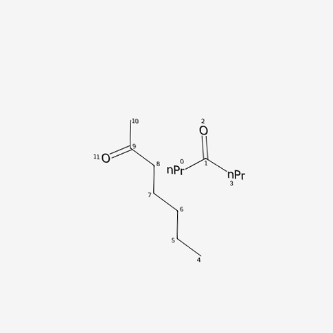 CCCC(=O)CCC.CCCCCC(C)=O